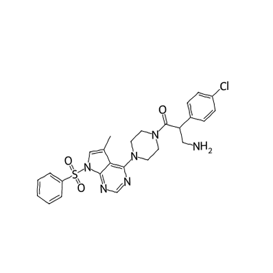 Cc1cn(S(=O)(=O)c2ccccc2)c2ncnc(N3CCN(C(=O)C(CN)c4ccc(Cl)cc4)CC3)c12